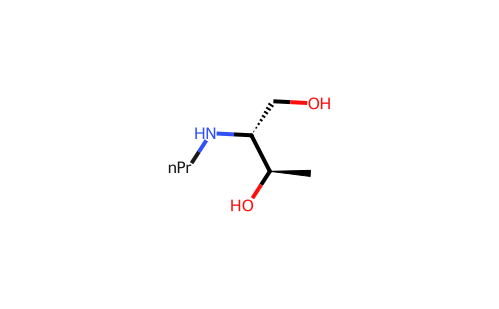 CCCN[C@H](CO)[C@@H](C)O